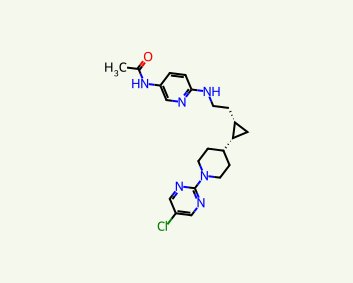 CC(=O)Nc1ccc(NCC[C@@H]2C[C@@H]2C2CCN(c3ncc(Cl)cn3)CC2)nc1